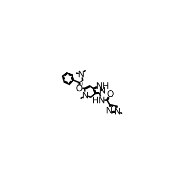 CN(C)C[C@@H](OC1=Cc2[nH]nc(NC(=O)c3cn(C)cn3)c2CN1C)c1ccccc1